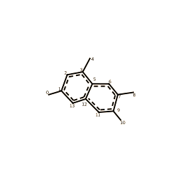 Cc1cc(C)c2cc(C)c(C)cc2c1